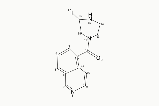 O=C(c1cccc2cnccc12)N1CCNC(I)C1